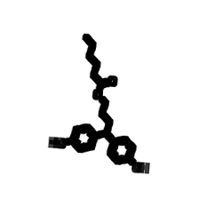 CCCCCC(=O)OCCCC(c1ccc(O)cc1)c1ccc(O)cc1